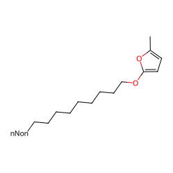 CCCCCCCCCCCCCCCCCCOc1ccc(C)o1